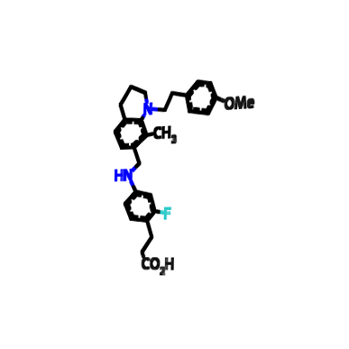 COc1ccc(CCN2CCCc3ccc(CNc4ccc(CCC(=O)O)c(F)c4)c(C)c32)cc1